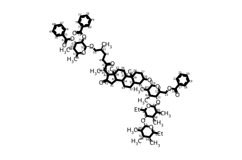 CCC1O[C@@H](O[C@@H]2C(CC)O[C@@H](O[C@H]3C(COC(=O)c4ccccc4)O[C@@H](OC4CCC5(C)C(CCC6C5CCC5(C)C6CC(=O)C5[C@H](C)C(=O)CC[C@H](C)CO[C@@H]5OC(C)[C@H](C)[C@H](OC(=O)c6ccccc6)C5OC(=O)c5ccccc5)C4)C(C)[C@H]3C)C(C)[C@H]2C)C(C)[C@@H](C)[C@@H]1C